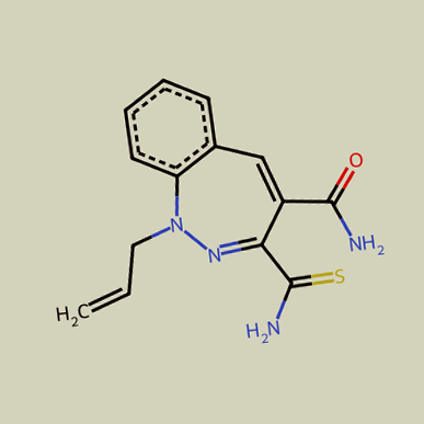 C=CCN1N=C(C(N)=S)C(C(N)=O)=Cc2ccccc21